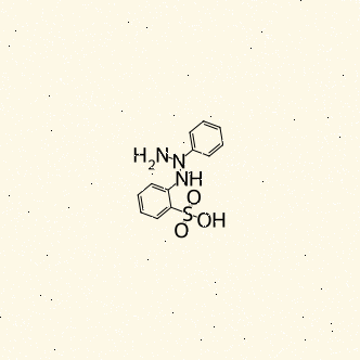 NN(Nc1ccccc1S(=O)(=O)O)c1ccccc1